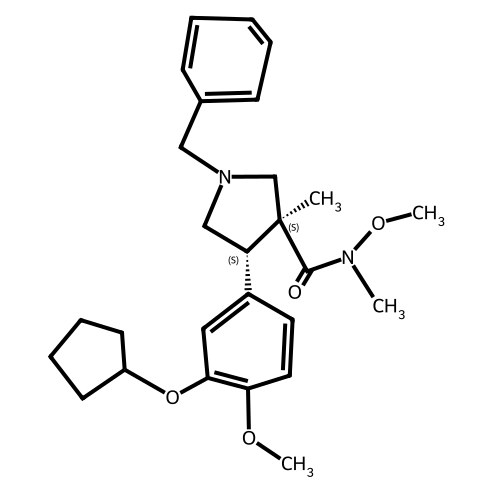 COc1ccc([C@@H]2CN(Cc3ccccc3)C[C@@]2(C)C(=O)N(C)OC)cc1OC1CCCC1